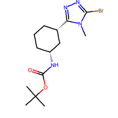 Cn1c(Br)nnc1[C@H]1CCC[C@@H](NC(=O)OC(C)(C)C)C1